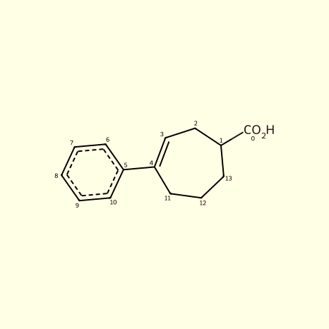 O=C(O)C1CC=C(c2ccccc2)CCC1